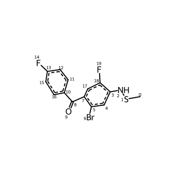 CSNc1cc(Br)c(C(=O)c2ccc(F)cc2)cc1F